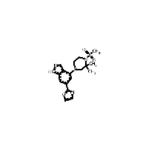 CC1(C)CN(c2cc(-c3ncco3)cc3[nH]ncc23)CCN1S(C)(=O)=O